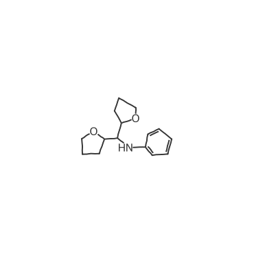 c1ccc(NC(C2CCCO2)C2CCCO2)cc1